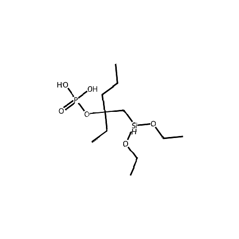 CCCC(CC)(C[SiH](OCC)OCC)OP(=O)(O)O